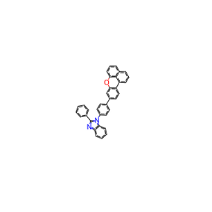 c1ccc(-c2nc3ccccc3n2-c2ccc(-c3ccc4c(c3)Oc3cccc5cccc-4c35)cc2)cc1